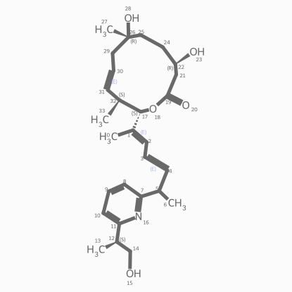 C/C(=C\C=C\C(C)c1cccc([C@H](C)CO)n1)[C@H]1OC(=O)C[C@H](O)CC[C@@](C)(O)C/C=C/[C@@H]1C